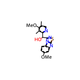 COc1ccc2c(c1)nc1snc(C(O)c3ncc(C)c(OC)c3C)n12